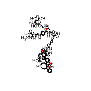 CC[C@](C)(O)C[C@H]1CNCCc2c([nH]c3ccccc23)[C@@](C(=O)OC)(c2cc3c(cc2OC)N(C)[C@H]2[C@@](O)(C(=O)NNC(=O)OCCSSC[C@H](NC(=O)[C@H](Cc4cn(CCO[C@@H]5OC(C(=O)O)[C@@H](O)[C@H](O)C5O)nn4)NC(=O)c4ccc(NCc5cnc6nc(N)[nH]c(=O)c6n5)cc4)C(=O)O)[C@H](O)[C@]4(CC)C=CCN5CC[C@]32[C@@H]54)C1